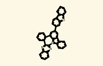 c1ccc2c(c1)-c1nc3ccccc3nc1-n1c3ccccc3c3cc(-c4ccc5c(c4)oc4ccccc45)cc-2c31